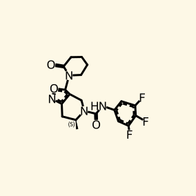 C[C@H]1Cc2noc(N3CCCCC3=O)c2CN1C(=O)Nc1cc(F)c(F)c(F)c1